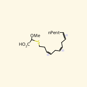 CCCCC/C=C\C/C=C\C/C=C\CCSC(OC)C(=O)O